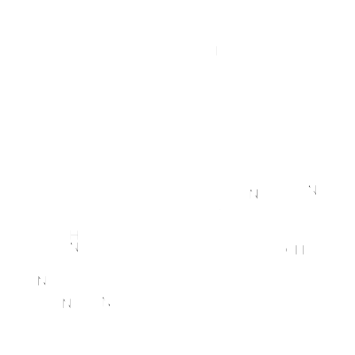 Cc1nc2ccc(F)cc2n1-c1ccc(-c2nnn[nH]2)cc1